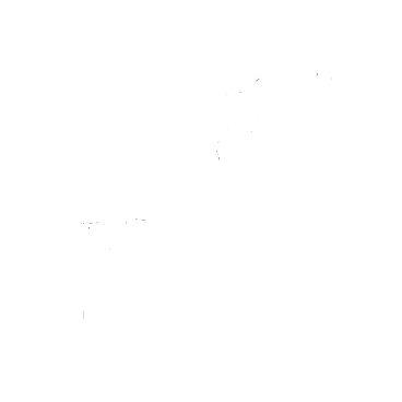 CCCCCCCC1(C#N)CCC(OC(=O)[C@H]2CC[C@H]([C@H]3CC[C@H](CCCC)CC3)CC2)CC1